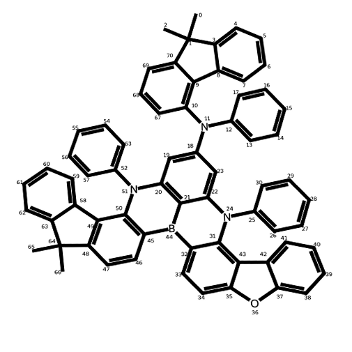 CC1(C)c2ccccc2-c2c(N(c3ccccc3)c3cc4c5c(c3)N(c3ccccc3)c3c(ccc6oc7ccccc7c36)B5c3ccc5c(c3N4c3ccccc3)-c3ccccc3C5(C)C)cccc21